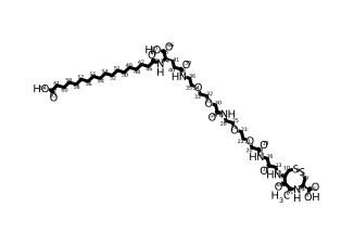 CC1N[C@H](C(=O)O)CSSC[C@H](NCC(=O)CNC(=O)COCCOCCNC(=O)COCCOCCNC(=O)CC[C@@H](NC(=O)CCCCCCCCCCCCCCCCC(=O)O)C(=O)O)C1=O